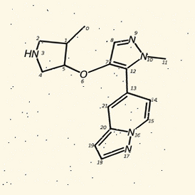 CC1CNCC1Oc1cnn(C)c1-c1ccn2nccc2c1